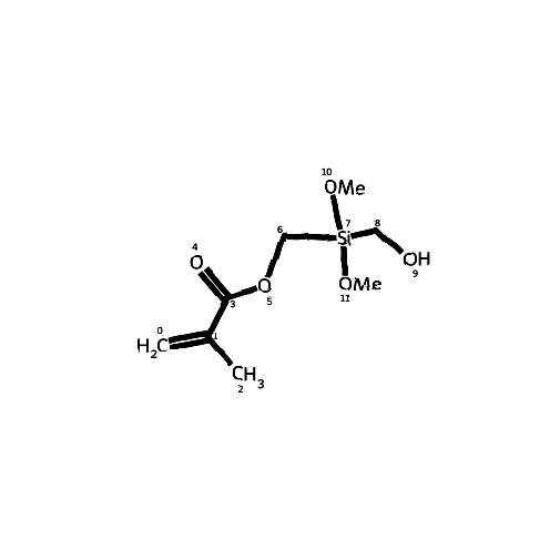 C=C(C)C(=O)OC[Si](CO)(OC)OC